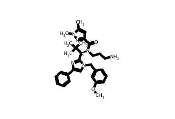 COc1cccc(Cn2cc(-c3ccccc3)nc2[C@H](N(CCCN)C(=O)c2cc(C)n(C)n2)C(C)(C)C)c1